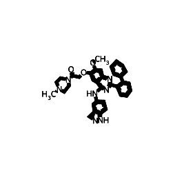 COc1cc2nc(-c3ccccc3-c3ccccc3)nc(Nc3ccc4[nH]ncc4c3)c2cc1OCC(=O)N1CCN(C)CC1